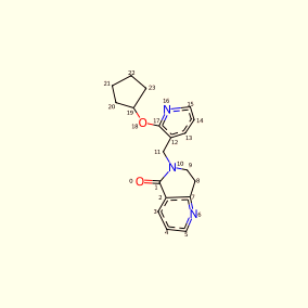 O=C1c2cccnc2CCN1Cc1cccnc1OC1CCCC1